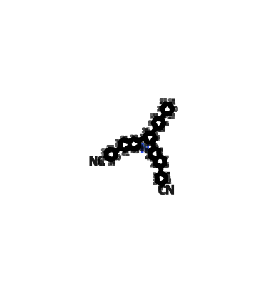 N#Cc1ccc(-c2ccc3cc4c5cc(-c6ccc(-c7ccccc7)cc6)cc6c7cc8ccc(-c9ccc(C#N)cc9)cc8cc7n(c4cc3c2)c56)cc1